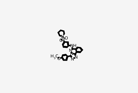 COc1ccc(-c2nnc3c4ccccc4c(Nc4cccc(S(=O)(=O)N5CCCCC5)c4)nn23)cc1